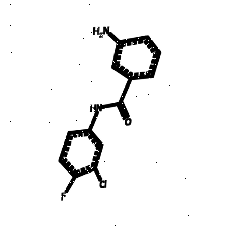 Nc1cccc(C(=O)Nc2ccc(F)c(Cl)c2)c1